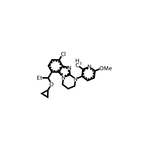 CCC(OC1CC1)c1ccc(Cl)c2nc3n(c12)CCCN3c1ccc(OC)nc1C